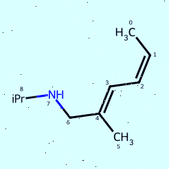 C/C=C\C=C(/C)CNC(C)C